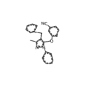 Cc1nn(-c2ccccc2)c(Oc2cccc(C#N)c2)c1Cc1ccccc1